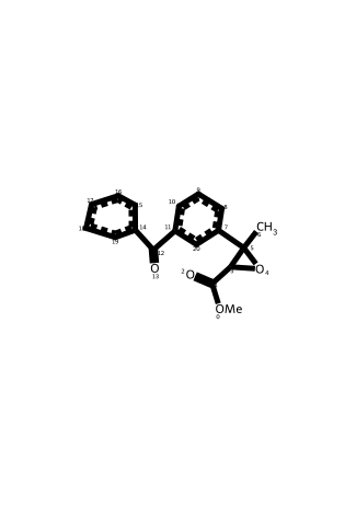 COC(=O)C1OC1(C)c1cccc(C(=O)c2ccccc2)c1